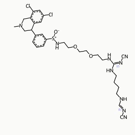 CN1Cc2c(Cl)cc(Cl)cc2C(c2cccc([S+]([O-])NCCOCCOCCN/C(=N\C#N)NCCCCN/C=N/C#N)c2)C1